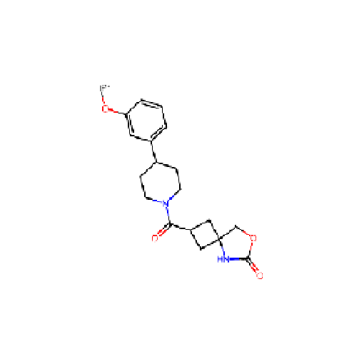 CC(C)Oc1cccc(C2CCN(C(=O)C3CC4(COC(=O)N4)C3)CC2)c1